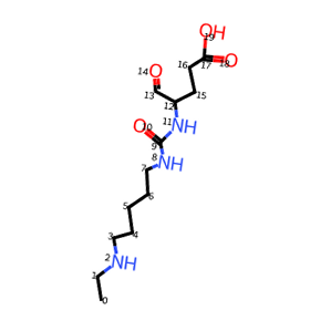 CCNCCCCCNC(=O)NC(C=O)CCC(=O)O